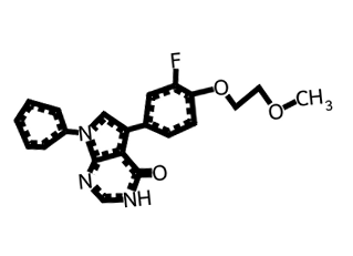 COCCOc1ccc(-c2cn(-c3ccccc3)c3nc[nH]c(=O)c23)cc1F